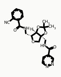 CC1(C)O[C@@H]2[C@@H](CNC(=O)c3ccccc3C#N)OC[C@]2(CNC(=O)c2ccnnc2)O1